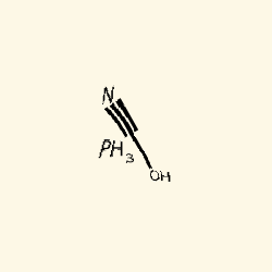 N#CO.P